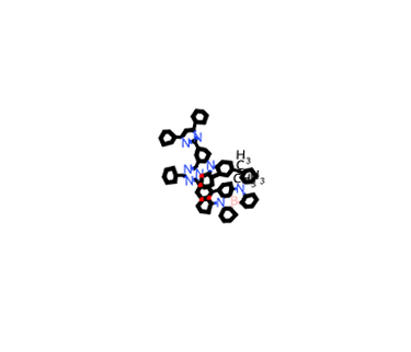 CC(C)(C)c1ccc2c(c1)c1ccccc1n2-c1ccc(-c2nc(-c3ccccc3)cc(-c3ccccc3)n2)cc1-c1nc(-c2ccccc2)nc(-c2cccc(-c3ccc4c5c3N(c3ccccc3)c3ccccc3B5c3ccccc3N4c3ccccc3)c2)n1